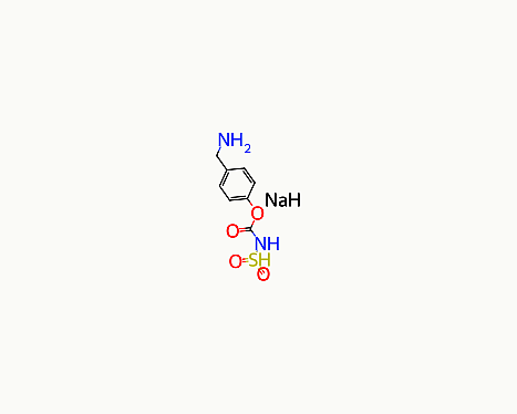 NCc1ccc(OC(=O)N[SH](=O)=O)cc1.[NaH]